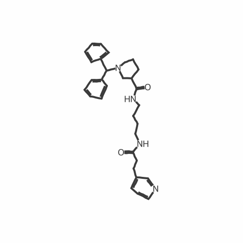 O=C(CCc1cccnc1)NCCCCNC(=O)C1CCCN(C(c2ccccc2)c2ccccc2)C1